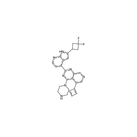 FC1(F)CC(c2cc3c(-c4nc(N5CCNCC5)c5c(C6=CC=C6)cncc5n4)ccnc3[nH]2)C1